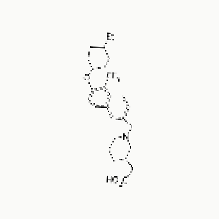 CCC1CCC(Oc2ccc3cc(CN4CCC[C@H](CC(=O)O)C4)ccc3c2C(F)(F)F)CC1